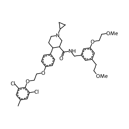 COCCOc1cc(CCOC)cc(CNC(=O)C2CN(C3CC3)CCC2c2ccc(OCCOc3c(Cl)cc(C)cc3Cl)cc2)c1